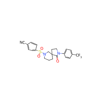 N#Cc1ccc(S(=O)(=O)N2CCCC3(CCN(c4ccc(C(F)(F)F)cc4)C3=O)C2)cc1